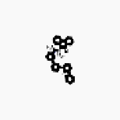 C=Nc1c(/N=C(\C)c2cccc(-c3cccc(-c4cccc5c4sc4ccccc45)c3)c2)c2ccccc2c2ccccc12